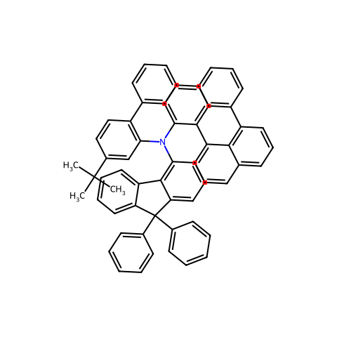 CC(C)(C)c1ccc(-c2ccccc2)c(N(c2ccccc2-c2cccc3cccc(-c4ccccc4)c23)c2cccc3c2-c2ccccc2C3(c2ccccc2)c2ccccc2)c1